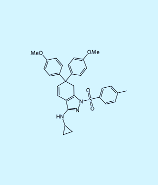 COc1ccc(C2(c3ccc(OC)cc3)C=Cc3c(NC4CC4)nn(S(=O)(=O)c4ccc(C)cc4)c3C2)cc1